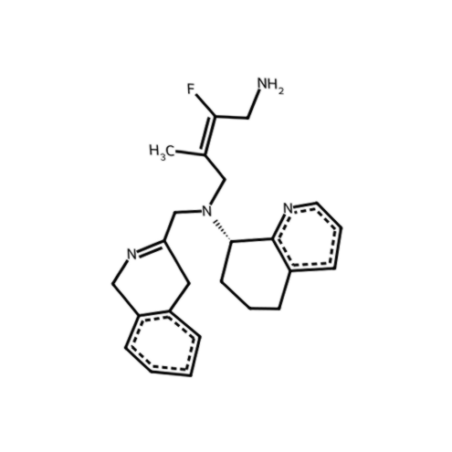 C/C(CN(CC1=NCc2ccccc2C1)[C@H]1CCCc2cccnc21)=C(\F)CN